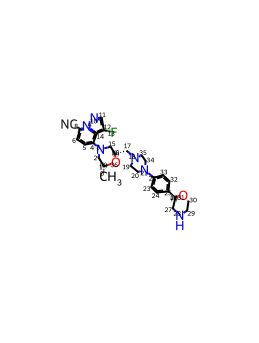 C[C@@H]1CN(c2ccc(C#N)n3ncc(F)c23)C[C@H](CN2CCN(c3ccc([C@@H]4CNCCO4)cc3)CC2)O1